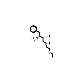 CCSCCNC[C@@H](O)[C@@H](N)Cc1ccccc1